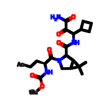 CC(=O)CC[C@H](NC(=O)OC(C)(C)C)C(=O)N1CC2C(C1C(=O)NC(C(=O)C(N)=O)C1CCC1)C2(C)C